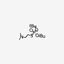 CC(C)COP(=O)(OC(C)(C)C)SCCN(C)C